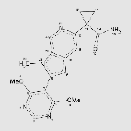 COc1ncnc(OC)c1-c1cc2cc(C3(C(N)=O)CC3)ncc2n1C